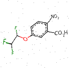 O=C(O)c1cc(OC(F)C(F)F)ccc1[N+](=O)[O-]